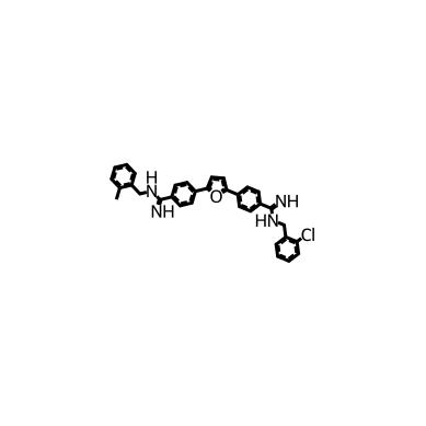 Cc1ccccc1CNC(=N)c1ccc(-c2ccc(-c3ccc(C(=N)NCc4ccccc4Cl)cc3)o2)cc1